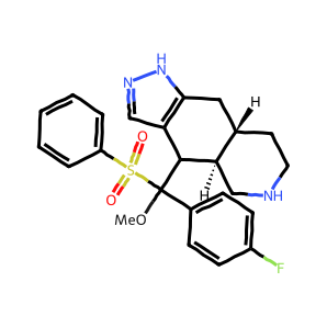 COC(c1ccc(F)cc1)(C1c2cn[nH]c2C[C@@H]2CCNC[C@@H]12)S(=O)(=O)c1ccccc1